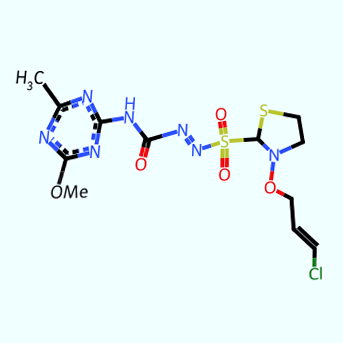 COc1nc(C)nc(NC(=O)N=NS(=O)(=O)C2SCCN2OCC=CCl)n1